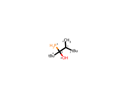 CC(C(C)(C)C)C(O)(P)C(C)(C)C